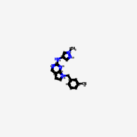 Cn1cc(Nc2ncc3ccn(Cc4cccc(C#N)c4)c3n2)cn1